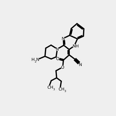 CCC(CC)COC(=O)/C(C#N)=C1/Nc2ccccc2N=C1N1CCC(N)CC1